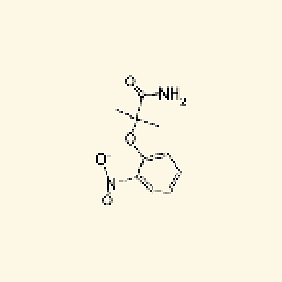 CC(C)(Oc1ccccc1[N+](=O)[O-])C(N)=O